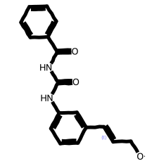 [O]C/C=C/c1cccc(NC(=O)NC(=O)c2ccccc2)c1